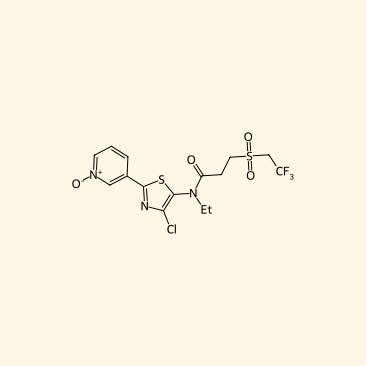 CCN(C(=O)CCS(=O)(=O)CC(F)(F)F)c1sc(-c2ccc[n+]([O-])c2)nc1Cl